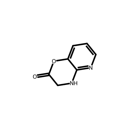 O=C1CNc2ncccc2O1